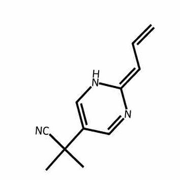 C=C/C=C1/N=CC(C(C)(C)C#N)=CN1